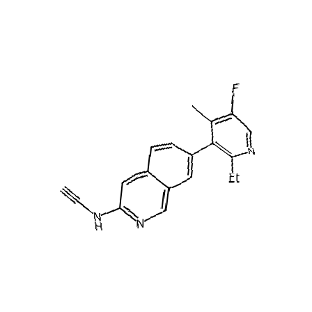 C#CNc1cc2ccc(-c3c(CC)ncc(F)c3C)cc2cn1